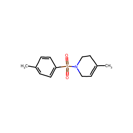 CC1=CCN(S(=O)(=O)c2ccc(C)cc2)CC1